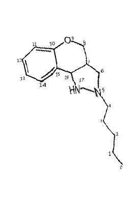 CCCCCN1CC2COc3ccccc3C2N1